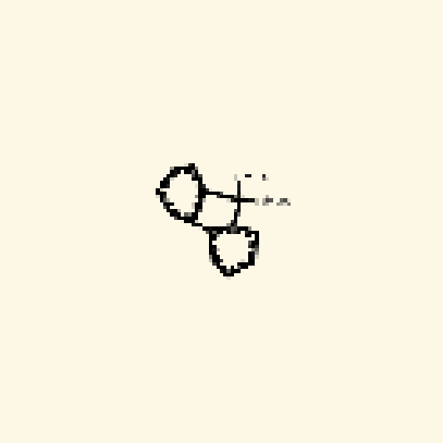 CCCCCCC1(CCCCCC)c2cc[c]cc2-c2ccccc21